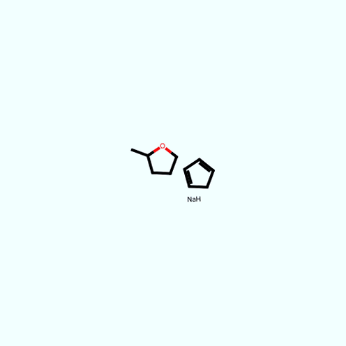 C1=CCC=C1.CC1CCCO1.[NaH]